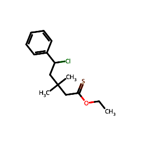 CCOC(=S)CC(C)(C)CC(Cl)c1ccccc1